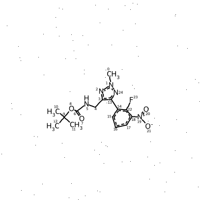 Cn1nc(CNC(=O)OC(C)(C)C)c(-c2cccc([N+](=O)[O-])c2F)n1